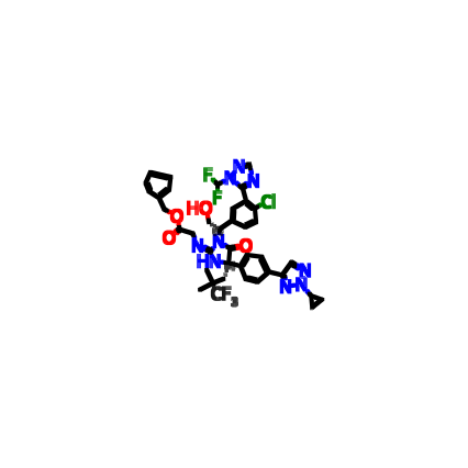 CC(C)(C[C@]1(c2ccc(-c3cnn(C4CC4)n3)cc2)NC(=NCC(=O)OCc2ccccc2)N([C@H](CO)c2ccc(Cl)c(-c3ncnn3C(F)F)c2)C1=O)C(F)(F)F